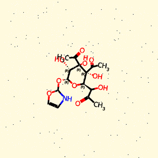 CC(=O)C(O)[C@H]1O[C@H](OC2NC=CO2)[C@H](O)[C@](O)(C(C)=O)[C@@]1(O)C(C)=O